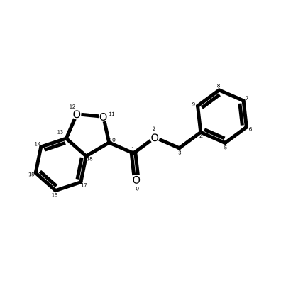 O=C(OCc1ccccc1)C1OOc2ccccc21